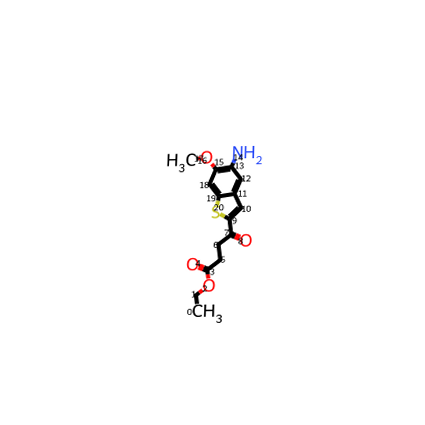 CCOC(=O)CCC(=O)c1cc2cc(N)c(OC)cc2s1